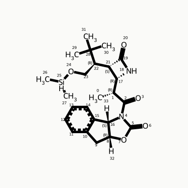 C[C@@H](C(=O)N1C(=O)O[C@@H]2Cc3ccccc3[C@@H]21)[C@H]1NC(=O)[C@H]1[C@@H](CO[SiH](C)C)C(C)(C)C